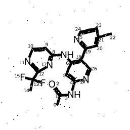 CC(=O)Nc1cc(Nc2ccnc(C(C)(F)F)n2)c(-c2cc(C)ccn2)cn1